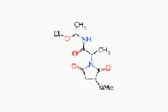 CCOC(C)NC(=O)C(C)N1C(=O)CC(NC)C1=O